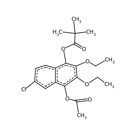 CCOc1c(OCC)c(OC(=O)C(C)(C)C)c2ccc(Cl)cc2c1OC(C)=O